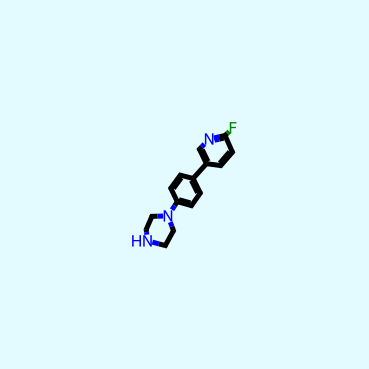 Fc1ccc(-c2ccc(N3CCNCC3)cc2)cn1